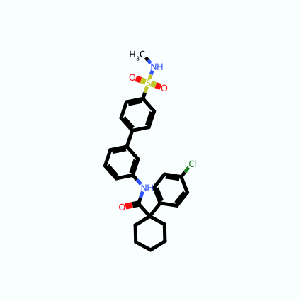 CNS(=O)(=O)c1ccc(-c2cccc(NC(=O)C3(c4ccc(Cl)cc4)CCCCC3)c2)cc1